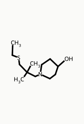 CCSCC(C)(C)CN1CCC(O)CC1